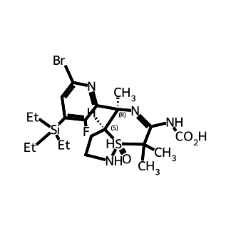 CC[Si](CC)(CC)c1cc(Br)nc([C@@]2(C)N=C(NC(=O)O)C(C)(C)[SH]3(=O)NCC[C@@H]23)c1F